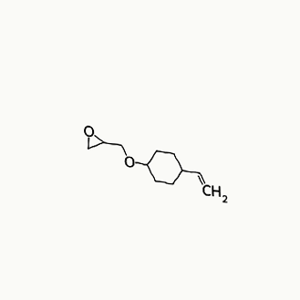 C=CC1CCC(OCC2CO2)CC1